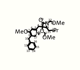 COCOC1(Cc2cc(OC)c(Cc3ccccc3)cn2)C(=O)N(COC)C1CC(C)C